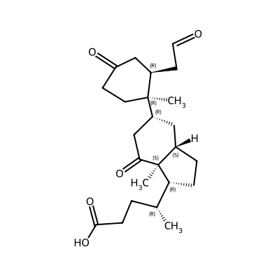 C[C@H](CCC(=O)O)[C@H]1CC[C@H]2C[C@@H]([C@@]3(C)CCC(=O)C[C@H]3CC=O)CC(=O)[C@@]21C